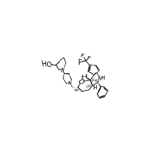 OC1CCCN(C2CCN(C[C@H]3CC[C@@H]4[C@H](O3)c3cc(C(F)(F)F)ccc3N[C@H]4c3ccccc3)CC2)C1